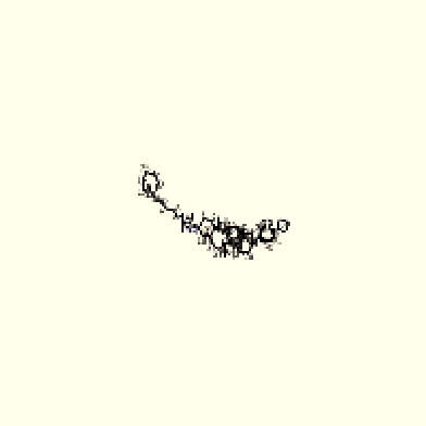 C[C@]12CC/C(=N\OCCCCCN3CCCCC3)C=C1CC[C@@H]1[C@@H]2CC[C@]2(C)[C@@H](c3ccc(=O)oc3)CC[C@]12O